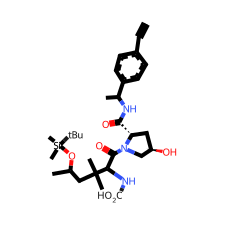 C#Cc1ccc(C(C)NC(=O)[C@@H]2C[C@@H](O)CN2C(=O)C(NC(=O)O)C(C)(C)CC(C)O[Si](C)(C)C(C)(C)C)cc1